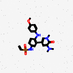 C=CS(=O)(=O)Nc1ccc(Nc2ccc(OC)cc2)c(-c2cc(N(C)C)c(=O)n(C)c2)c1